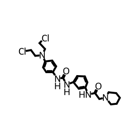 O=C(CN1CCCCC1)Nc1cccc(NC(=O)Nc2ccc(N(CCCl)CCCl)cc2)c1